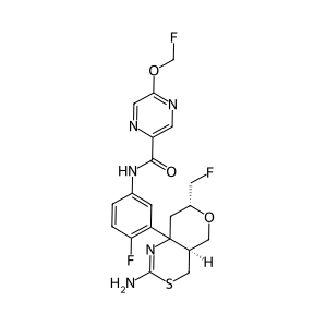 NC1=NC2(c3cc(NC(=O)c4cnc(OCF)cn4)ccc3F)C[C@H](CF)OC[C@H]2CS1